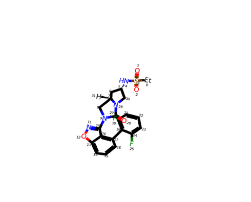 CCS(=O)(=O)N[C@H]1C[C@H]2CN(c3noc4cccc(-c5c(F)cccc5F)c34)C(=O)N2C1